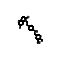 N#Cc1cc(CNC2CCN(CCn3c(=O)ccc4ncc(F)cc43)CC2)ccc1F